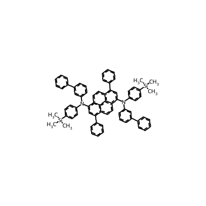 C[Si](C)(C)c1ccc(N(c2cccc(-c3ccccc3)c2)c2cc(-c3ccccc3)c3ccc4c(N(c5ccc([Si](C)(C)C)cc5)c5cccc(-c6ccccc6)c5)cc(-c5ccccc5)c5ccc2c3c54)cc1